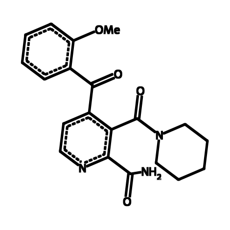 COc1ccccc1C(=O)c1ccnc(C(N)=O)c1C(=O)N1CCCCC1